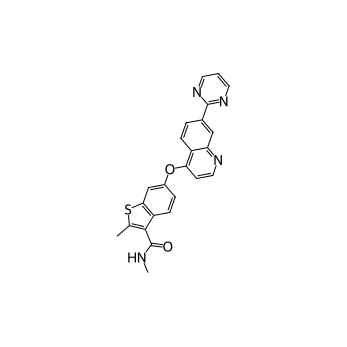 CNC(=O)c1c(C)sc2cc(Oc3ccnc4cc(-c5ncccn5)ccc34)ccc12